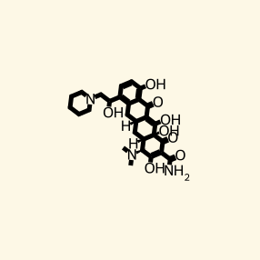 CN(C)[C@@H]1C(O)=C(C(N)=O)C(=O)[C@@]2(O)C(O)=C3C(=O)c4c(O)ccc(C(O)CN5CCCCC5)c4C[C@H]3C[C@@H]12